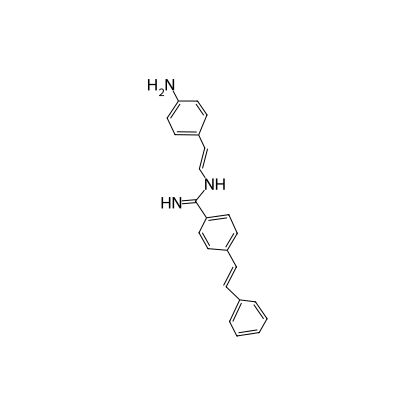 N=C(N/C=C/c1ccc(N)cc1)c1ccc(/C=C/c2ccccc2)cc1